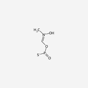 C[N+](O)=CO[P](=O)[S-]